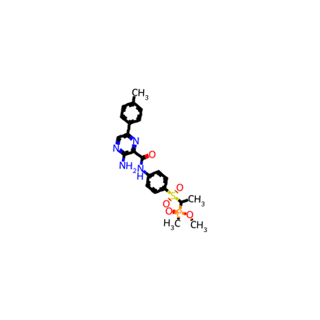 COP(C)(=O)C(C)S(=O)(=O)c1ccc(NC(=O)c2nc(-c3ccc(C)cc3)cnc2N)cc1